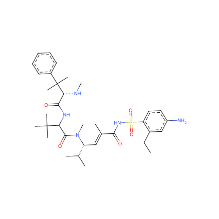 CCc1cc(N)ccc1S(=O)(=O)NC(=O)/C(C)=C/[C@H](C(C)C)N(C)C(=O)C(NC(=O)[C@@H](NC)C(C)(C)c1ccccc1)C(C)(C)C